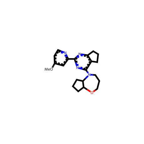 COc1ccnc(-c2nc3c(c(N4CCCOC5CCCC54)n2)CCC3)c1